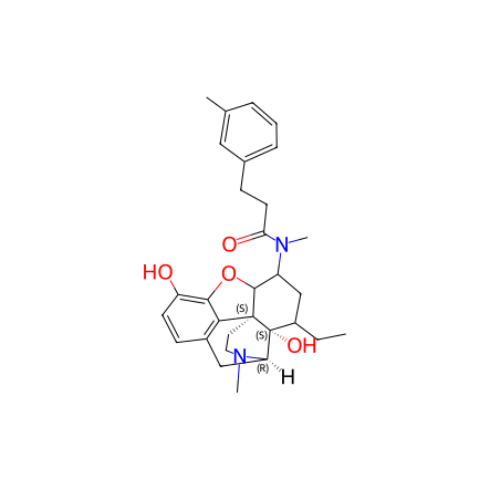 CCC1CC(N(C)C(=O)CCc2cccc(C)c2)C2Oc3c(O)ccc4c3[C@@]23CCN(C)[C@H](C4)[C@]13O